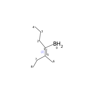 B/C(CCC)=C(\C)CC